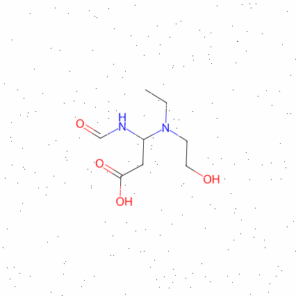 CCN(CCO)C(CC(=O)O)NC=O